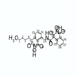 CCCCCC1C(=O)N(O)C(=O)c2c(CNC(=O)C3C(=O)N(O)C(=O)c4ccccc43)cccc21